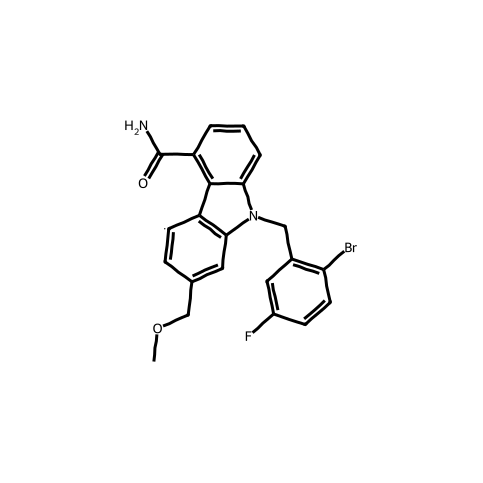 COCc1c[c]c2c3c(C(N)=O)cccc3n(Cc3cc(F)ccc3Br)c2c1